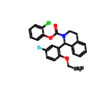 O=C(O)COc1ccc(F)cc1C1c2ccccc2CCN1C(=O)Oc1ccccc1Cl